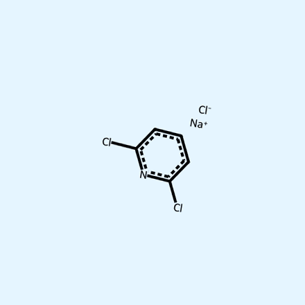 Clc1cccc(Cl)n1.[Cl-].[Na+]